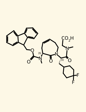 CN(CC(=O)O)C(=O)[C@H](CC1CCC(F)(F)CC1)N1CCC=CC[C@H](N(C)C(=O)OCC2c3ccccc3-c3ccccc32)C1=O